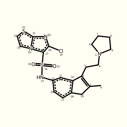 CC1=C(CCN2CCCC2)c2cc(NS(=O)(=O)c3c(Cl)nc4sccn34)ccc2C1